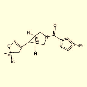 CC[C@]1(C)CC(C2[C@H]3CN(C(=O)c4cn(C(C)C)cn4)C[C@@H]23)=NO1